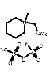 COC[N+]1(C)CCCCC1.O=S(=O)(F)NS(=O)(=O)C(F)(F)F